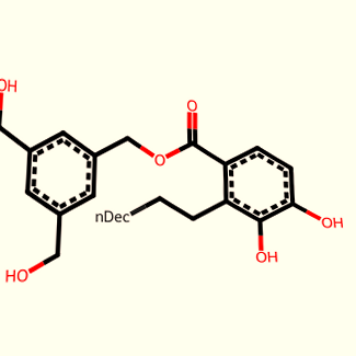 CCCCCCCCCCCCc1c(C(=O)OCc2cc(CO)cc(CO)c2)ccc(O)c1O